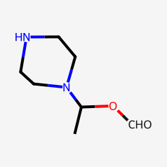 CC(OC=O)N1CCNCC1